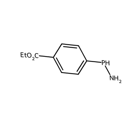 CCOC(=O)c1ccc(PN)cc1